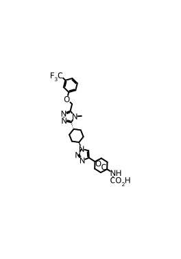 Cn1c(COc2cccc(C(F)(F)F)c2)nnc1[C@H]1CC[C@H](n2cc(C34CCC(NC(=O)O)(CC3)CO4)nn2)CC1